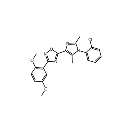 COc1ccc(OC)c(-c2noc(-c3nc(C)n(-c4ccccc4Cl)c3C)n2)c1